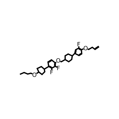 C=CCCOc1ccc(C2CCC(COc3ccc(C4CCC(OCCCC)CC4)c(F)c3F)CC2)cc1F